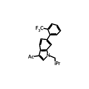 CC(=O)c1cn(CC(C)C)c2cc(-c3ccccc3C(F)(F)F)ccc12